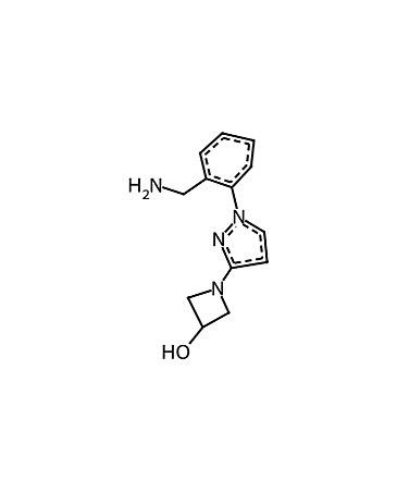 NCc1ccccc1-n1ccc(N2CC(O)C2)n1